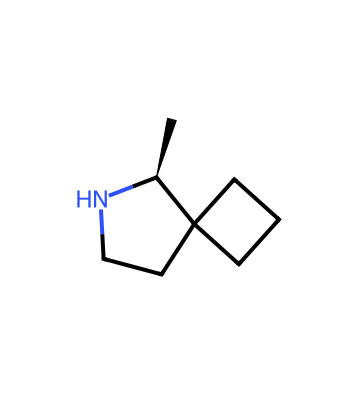 C[C@@H]1NCCC12CCC2